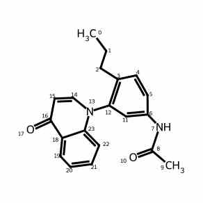 CCCc1ccc(NC(C)=O)cc1-n1ccc(=O)c2ccccc21